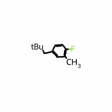 Cc1cc(CC(C)(C)C)ccc1F